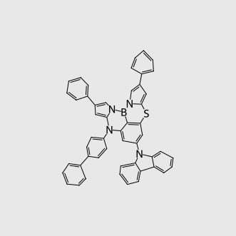 c1ccc(-c2ccc(N3c4cc(-n5c6ccccc6c6ccccc65)cc5c4B(n4cc(-c6ccccc6)cc4S5)n4cc(-c5ccccc5)cc43)cc2)cc1